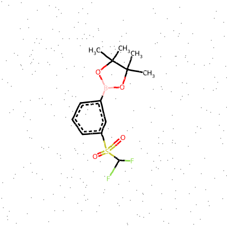 CC1(C)OB(c2cccc(S(=O)(=O)C(F)F)c2)OC1(C)C